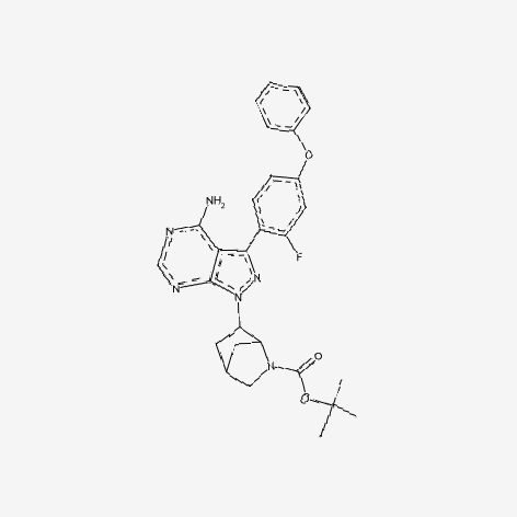 CC(C)(C)OC(=O)N1CC2CC1C(n1nc(-c3ccc(Oc4ccccc4)cc3F)c3c(N)ncnc31)C2